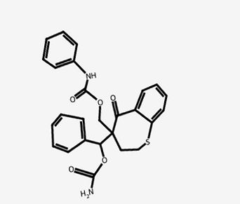 NC(=O)OC(c1ccccc1)C1(COC(=O)Nc2ccccc2)CCSc2ccccc2C1=O